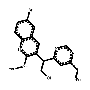 CC(C)(C)Cc1cc(C(CO)c2cc3cc(Br)ccc3nc2NC(C)(C)C)ncn1